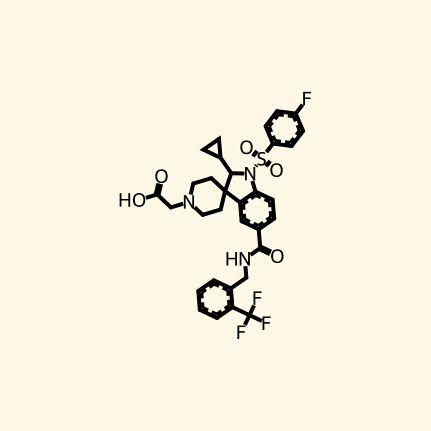 O=C(O)CN1CCC2(CC1)c1cc(C(=O)NCc3ccccc3C(F)(F)F)ccc1N(S(=O)(=O)c1ccc(F)cc1)C2C1CC1